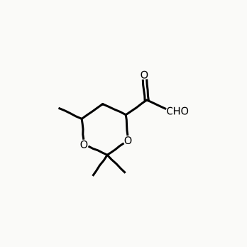 CC1CC(C(=O)C=O)OC(C)(C)O1